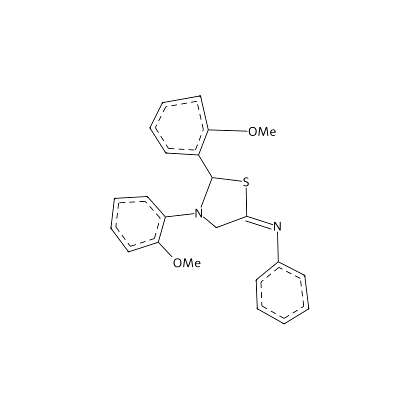 COc1ccccc1C1SC(=Nc2ccccc2)CN1c1ccccc1OC